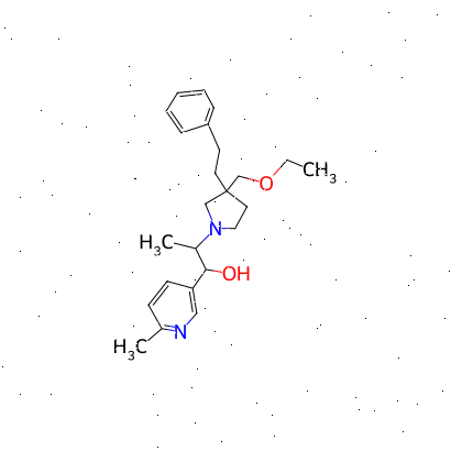 CCOCC1(CCc2ccccc2)CCN(C(C)C(O)c2ccc(C)nc2)C1